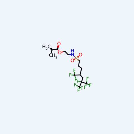 C=C(C)C(=O)OCCNS(=O)(=O)CCCC(CC(F)(C(F)(F)F)C(F)(F)F)C(F)(F)F